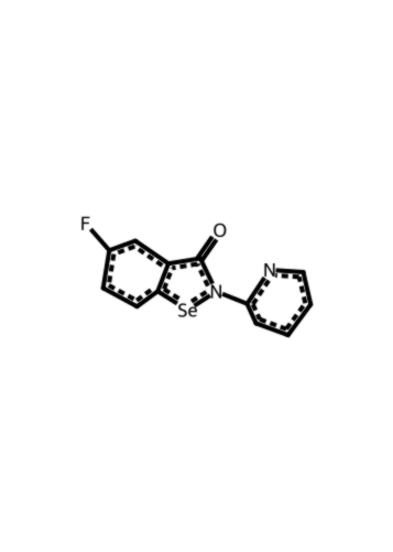 O=c1c2cc(F)ccc2[se]n1-c1ccccn1